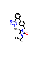 CCCCc1cn(CC(CC)CC)c(=O)n1Cc1ccc(-c2ccccc2-c2nnn[nH]2)cc1